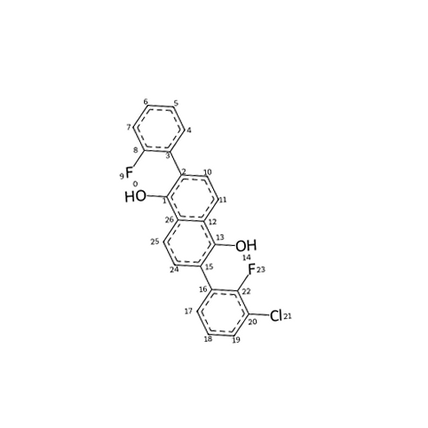 Oc1c(-c2ccccc2F)ccc2c(O)c(-c3cccc(Cl)c3F)ccc12